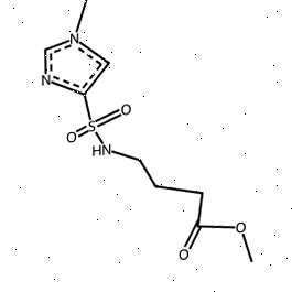 COC(=O)CCCNS(=O)(=O)c1cn(C)cn1